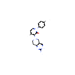 Cc1ccn(-c2ccc(C(C)(C)C)cc2)c(=O)c1N1CCc2nc(N)ncc2C1